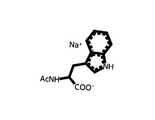 CC(=O)NC(Cc1c[nH]c2ccccc12)C(=O)[O-].[Na+]